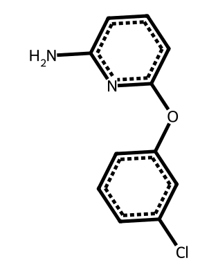 Nc1cccc(Oc2cccc(Cl)c2)n1